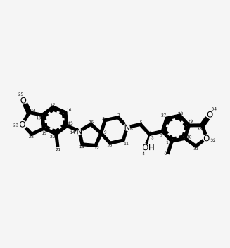 Cc1c([C@@H](O)CN2CCC3(CC2)CCN(c2ccc4c(c2C)COC4=O)C3)ccc2c1COC2=O